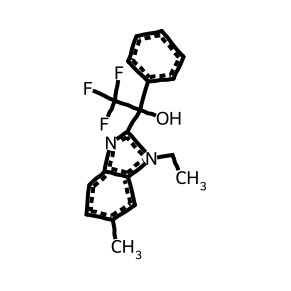 CCn1c(C(O)(c2ccccc2)C(F)(F)F)nc2ccc(C)cc21